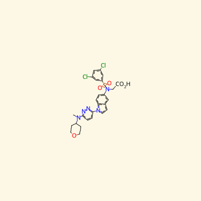 CN(c1ccc(-n2ccc3cc(N(CC(=O)O)S(=O)(=O)c4cc(Cl)cc(Cl)c4)ccc32)nn1)C1CCOCC1